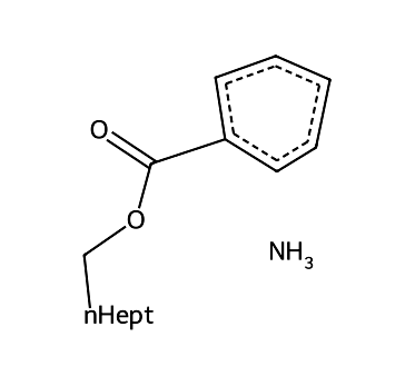 CCCCCCCCOC(=O)c1ccccc1.N